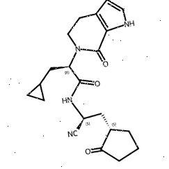 N#C[C@H](C[C@@H]1CCCC1=O)NC(=O)[C@@H](CC1CC1)N1CCc2cc[nH]c2C1=O